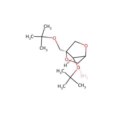 B[C@@H]1O[C@@]2(COC(C)(C)C)COC1[C@H]2OC(C)(C)C